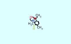 CCC(=O)C1C=CC(C)=C(S)C1(C)N1CCOCC1